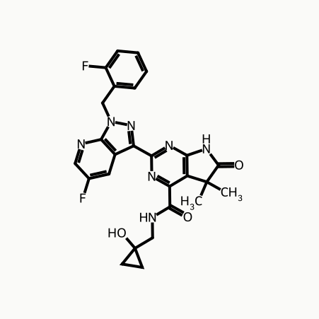 CC1(C)C(=O)Nc2nc(-c3nn(Cc4ccccc4F)c4ncc(F)cc34)nc(C(=O)NCC3(O)CC3)c21